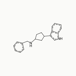 c1ccc(CNC2CCC(c3c[nH]c4ccccc34)C2)cc1